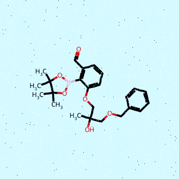 CC(O)(COCc1ccccc1)COc1cccc(C=O)c1B1OC(C)(C)C(C)(C)O1